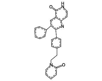 O=c1[nH]ccc2nc(-c3ccc(CCn4ccccc4=O)cc3)c(-c3ccccc3)cc12